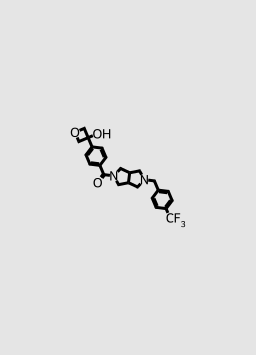 O=C(c1ccc(C2(O)COC2)cc1)N1CC2CN(Cc3ccc(C(F)(F)F)cc3)CC2C1